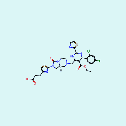 CCOC(=O)C1=C(CN2CCN3C(=O)N(c4nc(CCC(=O)O)cs4)C[C@@H]3C2)NC(c2nccs2)=N[C@H]1c1ccc(F)cc1Cl